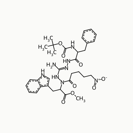 COC(=O)C(Cc1c[nH]c2ccccc12)N(NC(N)=NNC(=O)C(Cc1ccccc1)NC(=O)OC(C)(C)C)C(=O)CCCC[N+](=O)[O-]